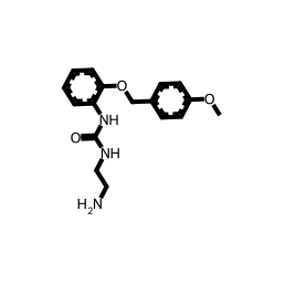 COc1ccc(COc2ccccc2NC(=O)NCCN)cc1